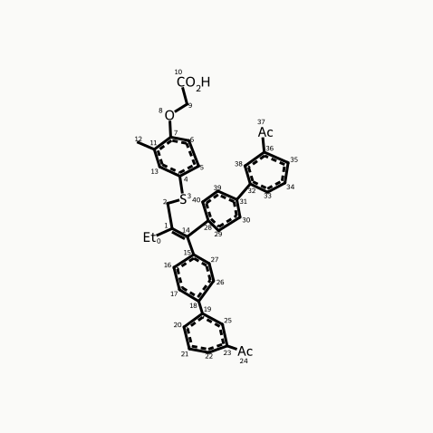 CCC(CSc1ccc(OCC(=O)O)c(C)c1)=C(c1ccc(-c2cccc(C(C)=O)c2)cc1)c1ccc(-c2cccc(C(C)=O)c2)cc1